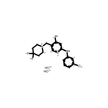 CC(C)c1cc(Nc2cccc(Cl)c2)ncc1CN1CCC(F)(F)CC1.Cl.Cl